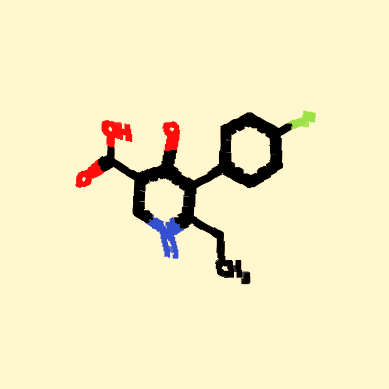 CCc1[nH]cc(C(=O)O)c(=O)c1-c1ccc(F)cc1